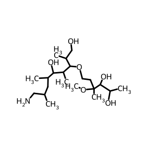 COC(C)(CCOC(C(C)CO)C(C)C(O)C(C)CC(C)CN)C(O)C(C)O